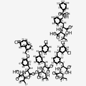 CC(C)CC(NC(Cc1cccc(Cc2cc(Cl)cc(Cl)c2)c1)C(=O)O)C(=O)O.CC(C)CC(NC(Cc1cccc(Cc2cccc(Cl)c2)c1)C(=O)O)C(=O)O.CC(C)CC(NC(Cc1cccc(OCc2csc3ccc(Cl)cc23)c1)C(=O)O)C(=O)O.CC(C)CC(NC(Cc1ccccc1NS(=O)(=O)c1ccccc1)C(=O)O)C(=O)O